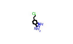 Nc1n[nH]c2cc(CCCl)ccc12